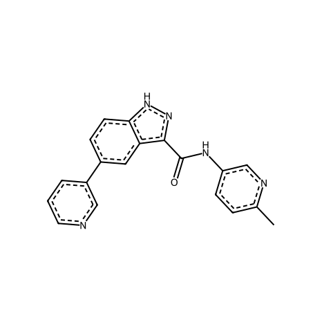 Cc1ccc(NC(=O)c2n[nH]c3ccc(-c4cccnc4)cc23)cn1